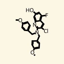 COc1ccc(CN(Cc2ccc(OC)cc2)c2nc3cc(O)cc(F)c3cc2Cl)cc1